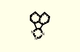 c1cc2c3c(cccc3c1)-c1nncnc1-2